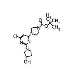 CC(C)(C)OC(=O)N1CCN(c2cc(Cl)nc(N3CCC(O)C3)n2)CC1